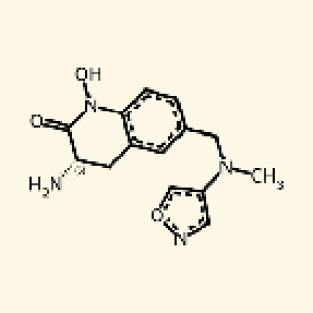 CN(Cc1ccc2c(c1)C[C@H](N)C(=O)N2O)c1cnoc1